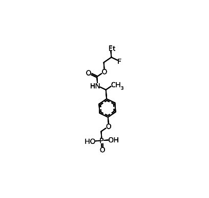 CCC(F)COC(=O)NC(C)c1ccc(OCP(=O)(O)O)cc1